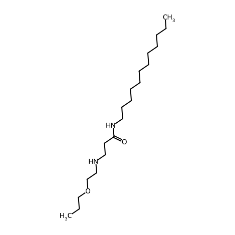 CCCCCCCCCCCCNC(=O)CCNCCOCCC